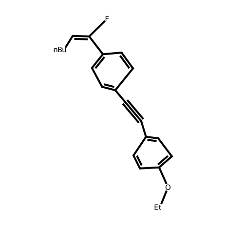 CCCC/C=C(/F)c1ccc(C#Cc2ccc(OCC)cc2)cc1